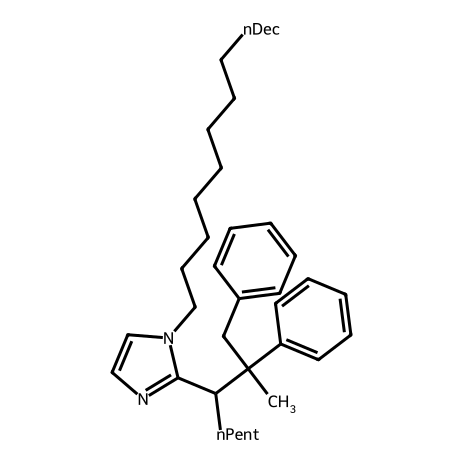 CCCCCCCCCCCCCCCCCCn1ccnc1C(CCCCC)C(C)(Cc1ccccc1)c1ccccc1